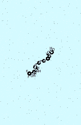 O=C1CCC(N2Cc3ccc(N4CC[C@@H](CN5CC[C@@H](CN6CCN7c8cc(-c9cc(F)cc(F)c9O)nnc8NC[C@H]7C6)C5)C4)cc3C2=O)C(=O)N1